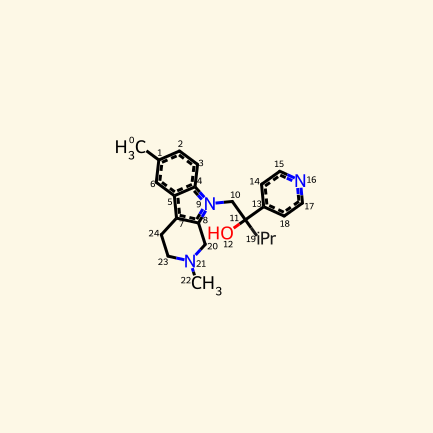 Cc1ccc2c(c1)c1c(n2CC(O)(c2ccncc2)C(C)C)CN(C)CC1